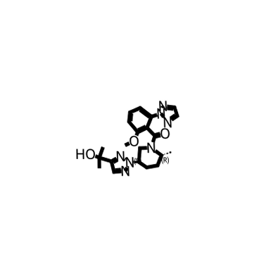 COc1cccc(-n2nccn2)c1C(=O)N1C[C@H](n2ncc(C(C)(C)O)n2)CC[C@H]1C